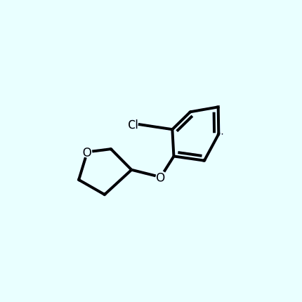 Clc1cc[c]cc1OC1CCOC1